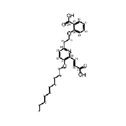 CCCCCCCCCCOc1ccc(CCOc2ccccc2C(=O)O)nc1C=CC(=O)O